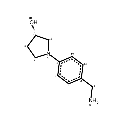 NCc1ccc(N2CC[C@H](O)C2)cc1